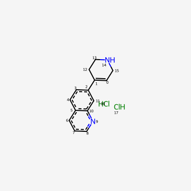 C1=C(c2ccc3cccnc3c2)CCNC1.Cl.Cl